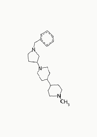 CN1CCC(C2CCN(C3CCN(Cc4ccccc4)C3)CC2)CC1